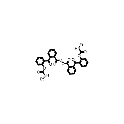 CCNC(=O)Oc1ccccc1C(=O)c1ccccc1C(=O)OOC(=O)c1ccccc1C(=O)c1ccccc1OC(=O)NCC